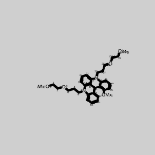 COCCOCCCN1c2ccccc2C2c3c(OC)cccc3N(CCCOCCOC)c3cccc1c32